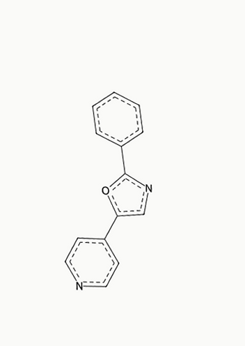 c1ccc(-c2ncc(-c3ccncc3)o2)cc1